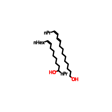 CCC/C=C\C=C\CCCCCCCCCO.CCCCCC/C=C\CCCCCCC(O)CCC